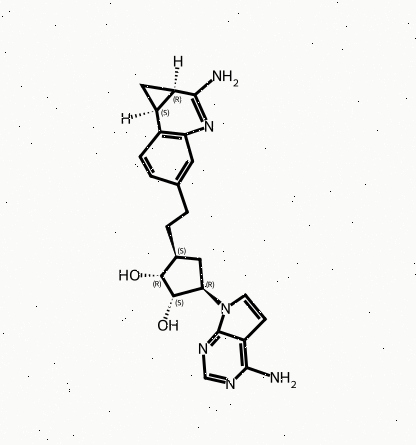 NC1=Nc2cc(CC[C@H]3C[C@@H](n4ccc5c(N)ncnc54)[C@H](O)[C@@H]3O)ccc2[C@H]2C[C@@H]12